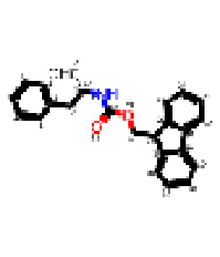 O=C[C@@H](Cc1ccccc1)NC(=O)OCC1c2ccccc2-c2ccccc21